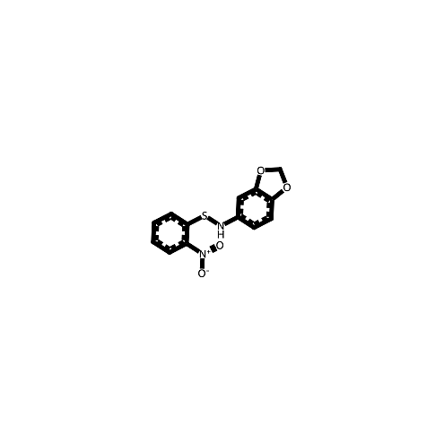 O=[N+]([O-])c1ccccc1SNc1ccc2c(c1)OCO2